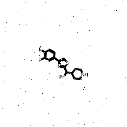 CC(C)C(c1nc(-c2ccc(F)c(F)c2)cs1)C1CCNCC1